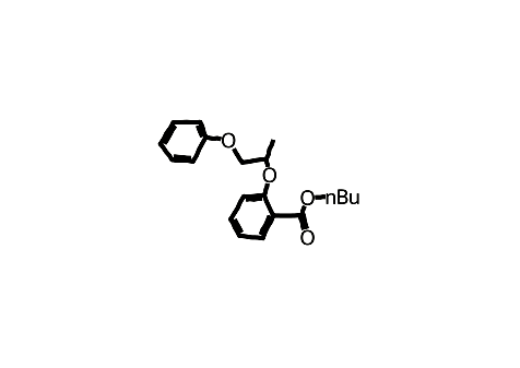 CCCCOC(=O)c1ccccc1OC(C)COc1ccccc1